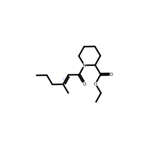 CCC/C(C)=C/C(=O)N1CCCCC1C(=O)OCC